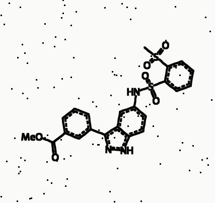 COC(=O)c1cccc(-c2n[nH]c3ccc(NS(=O)(=O)c4ccccc4S(C)(=O)=O)cc23)c1